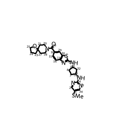 CSc1cnc(N[C@H]2CC[C@H](Nc3nc4ccc(C(=O)N5CCC6(CCCO6)CC5)cc4s3)C2)nc1